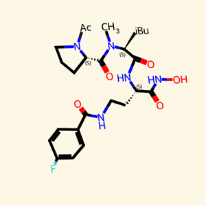 CCC(C)[C@@H](C(=O)N[C@@H](CCNC(=O)c1ccc(F)cc1)C(=O)NO)N(C)C(=O)[C@@H]1CCCN1C(C)=O